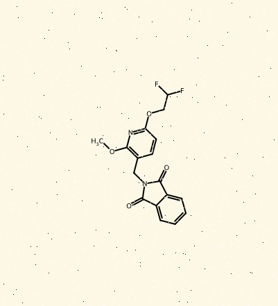 COc1nc(OCC(F)F)ccc1CN1C(=O)c2ccccc2C1=O